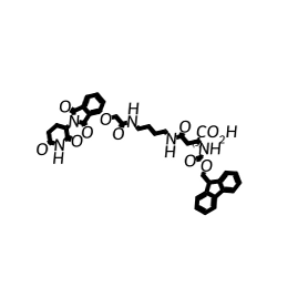 O=C(COc1cccc2c1C(=O)N(C1CCC(=O)NC1=O)C2=O)NCCCCNC(=O)C[C@H](NC(=O)OCC1c2ccccc2-c2ccccc21)C(=O)O